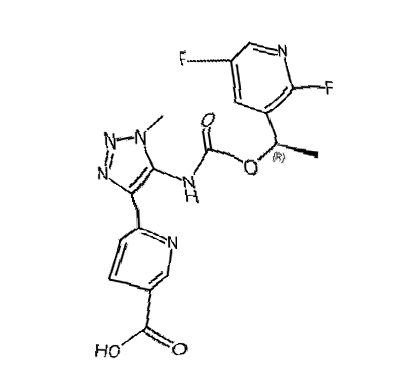 C[C@@H](OC(=O)Nc1c(-c2ccc(C(=O)O)cn2)nnn1C)c1cc(F)cnc1F